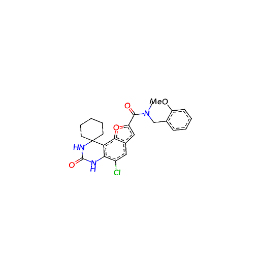 COc1ccccc1CN(C)C(=O)c1cc2cc(Cl)c3c(c2o1)C1(CCCCC1)NC(=O)N3